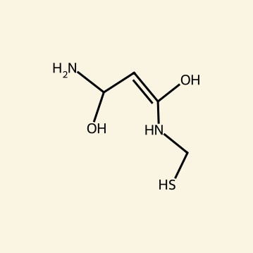 NC(O)/C=C(/O)NCS